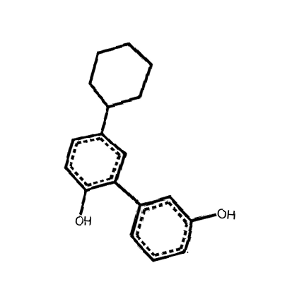 Oc1[c]ccc(-c2cc(C3CCCCC3)ccc2O)c1